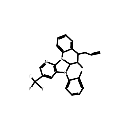 C=CCC1c2ccccc2N2c3ncc(C(F)(F)F)cc3N(c3ccccc3C)C2C1C